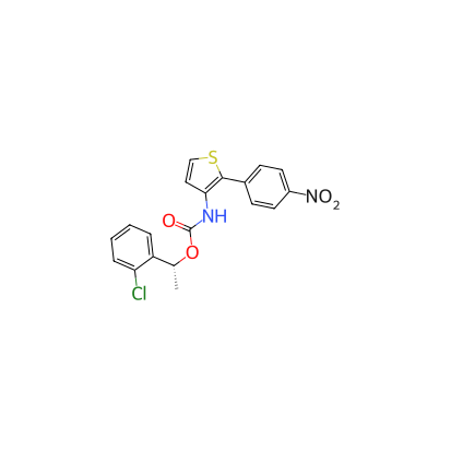 C[C@@H](OC(=O)Nc1ccsc1-c1ccc([N+](=O)[O-])cc1)c1ccccc1Cl